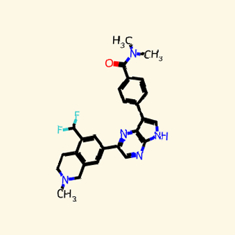 CN1CCc2c(cc(-c3cnc4[nH]cc(-c5ccc(C(=O)N(C)C)cc5)c4n3)cc2C(F)F)C1